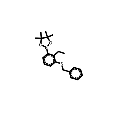 CCc1c(SCc2ccccc2)cccc1B1OC(C)(C)C(C)(C)O1